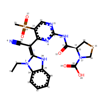 CCN1/C(=C(\C#N)c2nc(NC(=O)[C@H]3CSCN3C(=O)O)ncc2S(C)(=O)=O)Nc2ccccc21